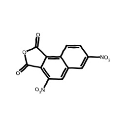 O=C1OC(=O)c2c1c([N+](=O)[O-])cc1cc([N+](=O)[O-])ccc21